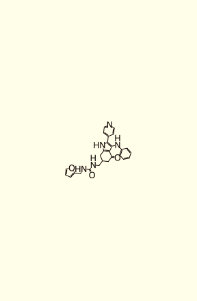 O=C(NCc1ccco1)NCC1CC(=O)c2c([nH]c(-c3ccncc3)c2Nc2ccccc2)C1